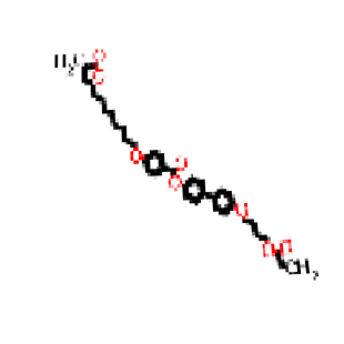 C=CC(=O)OCCCCOc1ccc(-c2ccc(OC(=O)c3ccc(OCCCCCCCCC4CC(=C)C(=O)O4)cc3)cc2)cc1